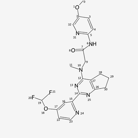 COc1ccc(NC(=O)CN(C)c2nc(-c3cc(OC(F)F)ccn3)nc3c2CCC3)nc1